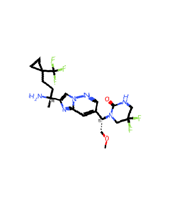 COC[C@H](c1cnn2cc([C@](C)(N)CCC3(C(F)(F)F)CC3)nc2c1)N1CC(F)(F)CNC1=O